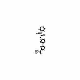 CCN(C(=O)Cn1ccc(-c2ccc(C(=O)NO)s2)n1)c1ccccc1